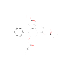 CC(C)(C)C(=O)O[C@H]1CC[C@H]2[C@H](CC(=O)O)[C@@H](c3ccccc3)[C@H](OC(=O)C(C)(C)C)C[C@]12C